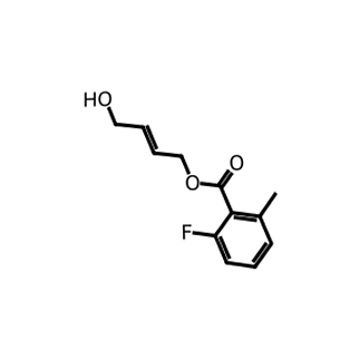 Cc1cccc(F)c1C(=O)OC/C=C/CO